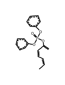 C=C(/C=C\C=C/C)OP(=O)(Oc1ccccc1)Oc1ccccc1